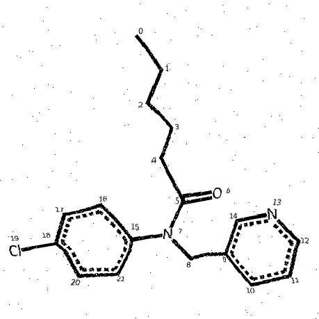 CCCCCC(=O)N(Cc1cccnc1)c1ccc(Cl)cc1